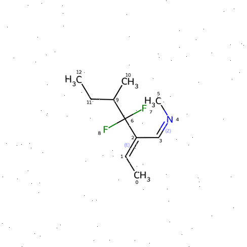 C/C=C(\C=N/C)C(F)(F)C(C)CC